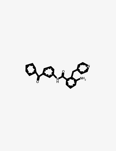 Nc1cccc(C(=O)Nc2cccc(C(=O)c3ccccc3)c2)c1Cc1ccncc1